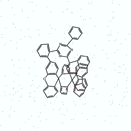 c1ccc(-c2nc(-c3ccccc3-c3ccc4c(c3)Oc3ccccc3C43c4ccccc4C4(c5ccccc5-c5ccccc54)c4ccccc43)nc(-c3ccc(-c4ccccc4)c4ccccc34)n2)cc1